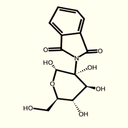 O=C1c2ccccc2C(=O)N1[C@]1(O)[C@@H](O)O[C@H](CO)[C@@H](O)[C@@H]1O